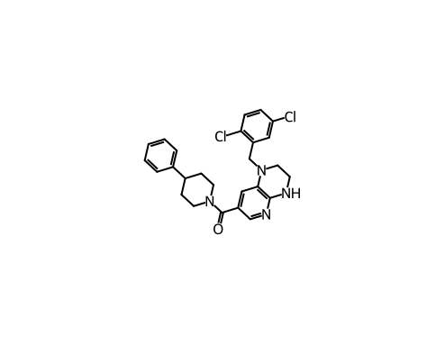 O=C(c1cnc2c(c1)N(Cc1cc(Cl)ccc1Cl)CCN2)N1CCC(c2ccccc2)CC1